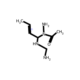 C/C=C/C(NCN)N(N)C(C)=O